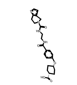 O=C(NCCNC(=O)N1CCc2sccc2C1)c1ccc(O[C@H]2CC[C@@H](C(=O)O)CC2)cc1